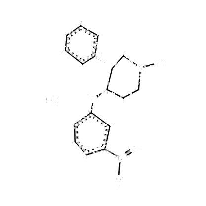 CN1CC[C@@H](Oc2cccc([N+](=O)[O-])c2)[C@H](c2ccccc2)C1.Cl